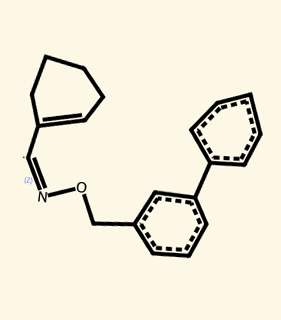 [C](=N/OCc1cccc(-c2ccccc2)c1)/C1=CCCCC1